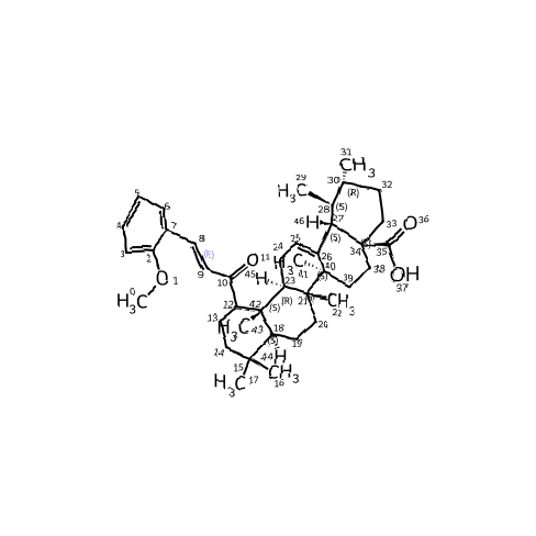 COc1ccccc1/C=C/C(=O)C1CCC(C)(C)[C@@H]2CC[C@]3(C)[C@H](CC=C4[C@@H]5[C@@H](C)[C@H](C)CC[C@]5(C(=O)O)CC[C@]43C)[C@@]12C